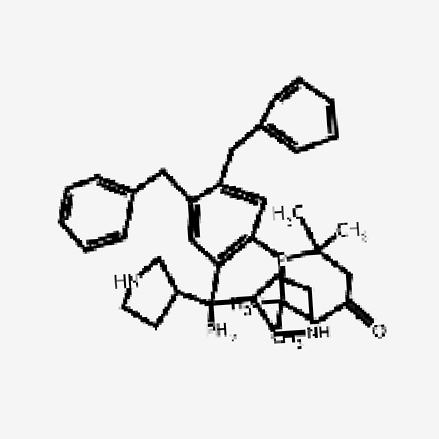 CC1(C)CC(=O)CC(C)(C)P1c1cc(Cc2ccccc2)c(Cc2ccccc2)cc1C(P)(C1CCNC1)C1CCNC1